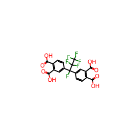 O=C(O)c1ccc(C(F)(c2ccc(C(=O)O)c(C(=O)O)c2)C(F)(F)C(F)(F)F)cc1C(=O)O